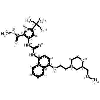 COCC1CN(CCOc2ccc(NC(=O)Nc3cc(C(C)(C)C)oc3C(=O)OC)c3ccccc23)CCO1